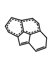 C1=CC2=Cc3cccc4ccc(c2c34)C1